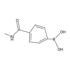 C[AsH]C(=O)c1ccc(B(O)O)cc1